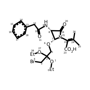 CCOC(CBr)(CO[C@@H]1[C@H](NC(=O)Cc2ccccc2)C(=O)N1C(C(=O)O)=C(C)C)OCC